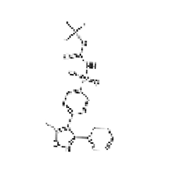 Cc1onc(-c2ccccc2)c1-c1ccc(S(=O)(=O)NC(=O)OC(C)(C)C)cc1